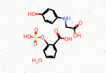 O.O=C(O)CNc1ccc(O)cc1.O=C(O)c1ccccc1OS(=O)(=O)O